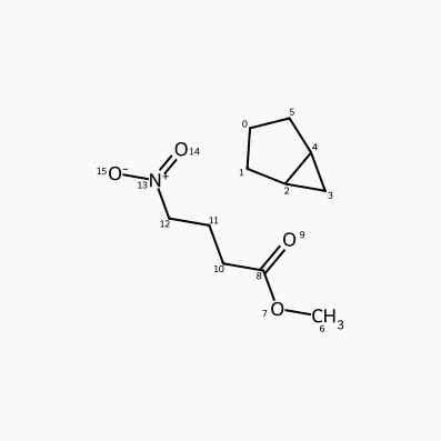 C1CC2CC2C1.COC(=O)CCC[N+](=O)[O-]